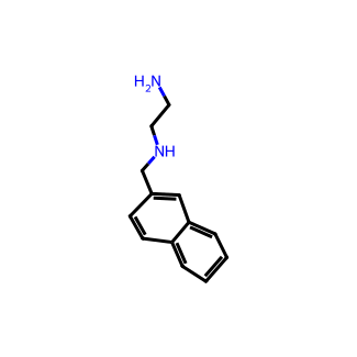 NCCNCc1ccc2ccccc2c1